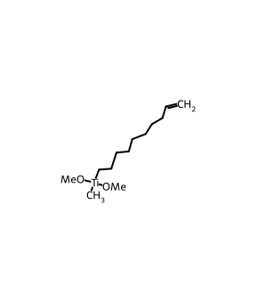 C=CCCCCCCC[CH2][Ti]([CH3])([O]C)[O]C